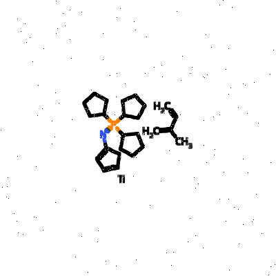 C1=CCC(N=P(C2CCCC2)(C2CCCC2)C2CCCC2)=C1.C=CC(=C)C.[Ti]